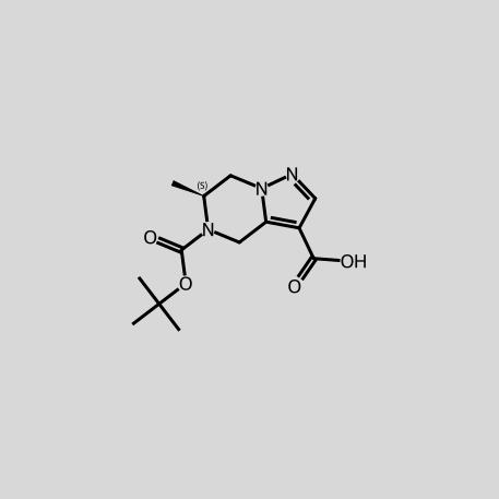 C[C@H]1Cn2ncc(C(=O)O)c2CN1C(=O)OC(C)(C)C